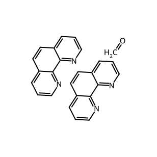 C=O.c1cnc2c(c1)ccc1cccnc12.c1cnc2c(c1)ccc1cccnc12